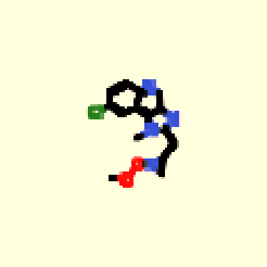 COON1C=C1Cc1nc2cnc3ccc(Cl)cc3c2n1C